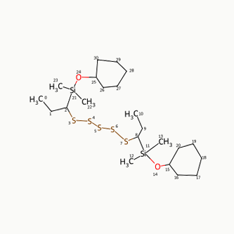 CCC(SSSSSC(CC)[Si](C)(C)OC1CCCCC1)[Si](C)(C)OC1CCCCC1